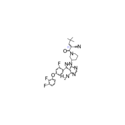 CC(C)(C)/C=C(\C#N)C(=O)N1CCCC(n2nc(-c3ccc(Oc4cccc(F)c4F)cc3F)c3c(N)ncnc32)C1